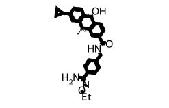 CCON=C(N)c1ccc(CNC(=O)c2ccc3c(c2)[C@H](C)c2cc(C4CC4)ccc2[C@@H]3O)cc1